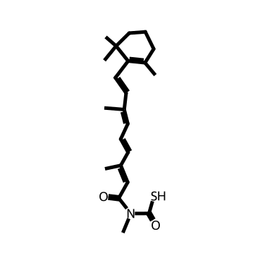 CC1=C(/C=C/C(C)=C/C=C/C(C)=C/C(=O)N(C)C(=O)S)C(C)(C)CCC1